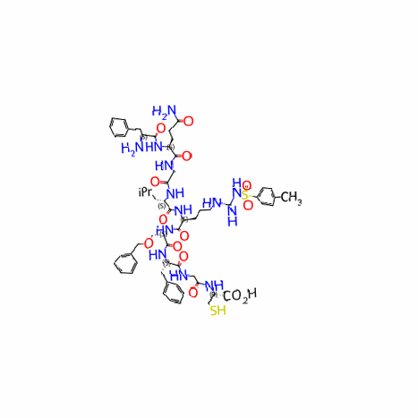 Cc1ccc(S(=O)(=O)NC(=N)NCCC[C@H](NC(=O)[C@H](CC(C)C)NC(=O)CNC(=O)[C@H](CCC(N)=O)NC(=O)[C@@H](N)Cc2ccccc2)C(=O)N[C@@H](COCc2ccccc2)C(=O)N[C@@H](Cc2ccccc2)C(=O)NCC(=O)N[C@@H](CS)C(=O)O)cc1